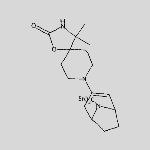 CCOC(=O)N1C2C=C(N3CCC4(CC3)OC(=O)NC4(C)C)CC1CC2